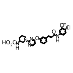 O=C(O)NC1CCCN(c2nccc(Oc3cccc(C=CC(=O)Nc4ccc(Cl)c(C(F)(F)F)c4)c3)n2)C1